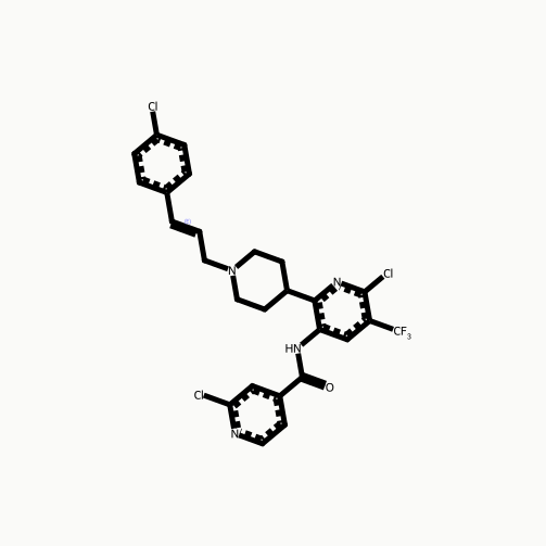 O=C(Nc1cc(C(F)(F)F)c(Cl)nc1C1CCN(C/C=C/c2ccc(Cl)cc2)CC1)c1ccnc(Cl)c1